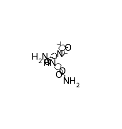 Cc1cn(-c2ccc(C(N)=O)c(N[C@H]3CC[C@H](OC(=O)CCN)CC3)c2)c2c1C(=O)CC(C)(C)C2